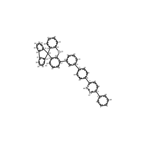 c1ccc(-c2ccc(-c3ccc(-c4cccc(-c5cccc6c5Oc5ccccc5C65c6ccccc6-c6ccccc65)c4)cc3)nn2)cc1